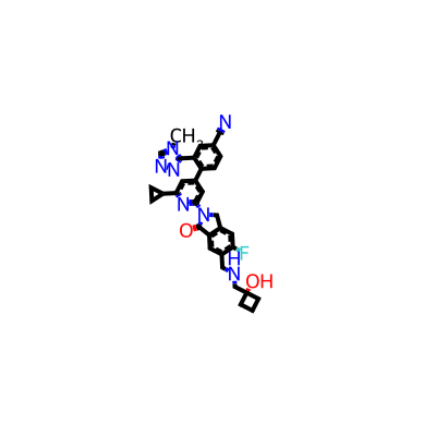 Cn1cnnc1-c1cc(C#N)ccc1-c1cc(C2CC2)nc(N2Cc3cc(F)c(CNCC4(O)CCC4)cc3C2=O)c1